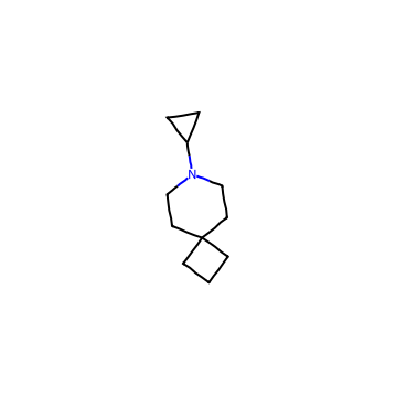 C1CC2(C1)CCN(C1CC1)CC2